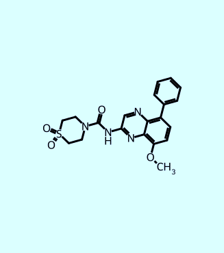 COc1ccc(-c2ccccc2)c2ncc(NC(=O)N3CCS(=O)(=O)CC3)nc12